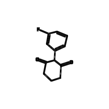 O=C1CCCC(=O)C1c1cccc(F)c1